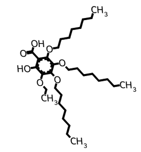 CCCCCCCCOc1c(OCC)c(O)c(C(=O)O)c(OCCCCCCCC)c1OCCCCCCCC